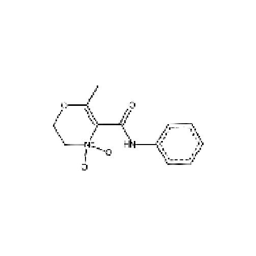 CC1=C(C(=O)Nc2ccccc2)[N+]([O-])([O-])CCO1